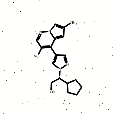 N#CCC(C1CCCC1)n1cc(-c2c(C#N)cnn3cc(N)cc23)cn1